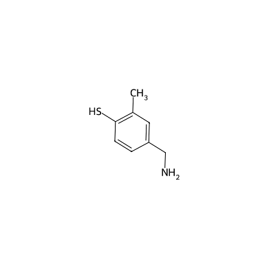 Cc1cc(CN)ccc1S